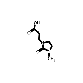 CN1CCN(CCC(=O)O)C1=S